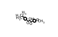 COc1ccc(C(=O)C(O)C(=O)c2ccc(C(C)(C)C)cc2)cc1